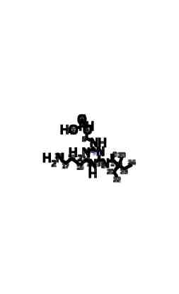 C=C(/N=C(\N=C(/N)NCO[PH](=O)O)NCCCCN)C(C)(CC)CC